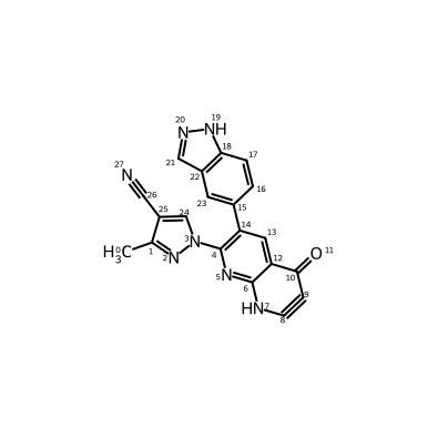 Cc1nn(-c2nc3[nH]c#cc(=O)c3cc2-c2ccc3[nH]ncc3c2)cc1C#N